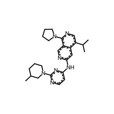 CC1CCCN(c2nccc(Nc3cc4c(C(C)C)cnc(N5CCCC5)c4cn3)n2)C1